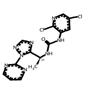 C[C@H](NC(=O)Nc1cc(Cl)cnc1Cl)c1ncnn1-c1ncccn1